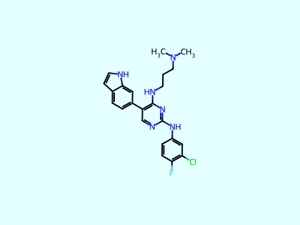 CN(C)CCCNc1nc(Nc2ccc(F)c(Cl)c2)ncc1-c1ccc2cc[nH]c2c1